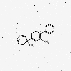 CC1(C2=CC(N)=C(c3ccccc3)CC2)C=CC=CC1